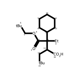 CCC(C(=O)OCC(C)(C)C)(C1CCCCC1)C(CC(C)(C)C)C(=O)O